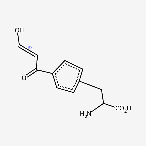 NC(Cc1ccc(C(=O)/C=C/O)cc1)C(=O)O